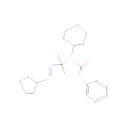 CCCCC(C)(N=NC1CCCC1)N(C(=O)Nc1ccccc1)C1CCCCC1